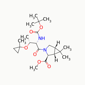 COC(=O)[C@@H]1[C@@H]2[C@H](CN1C(=O)[C@@H](NC(=O)OC(C)(C)C)[C@@H](C)OC1(C)CC1)C2(C)C